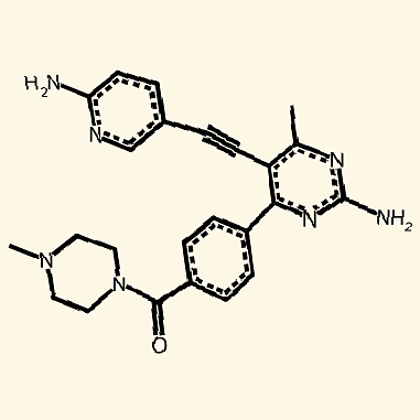 Cc1nc(N)nc(-c2ccc(C(=O)N3CCN(C)CC3)cc2)c1C#Cc1ccc(N)nc1